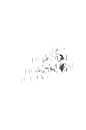 CC1OC(O[C@H]2C(O)C(C)OC(OC3CCC(C)(C4CCC5(C)[C@@H](C6=CC(=O)OC6)CC[C@]5(O)[C@@H]4C)CC3)[C@H]2O)[C@@H](O)[C@@H](O)C1O